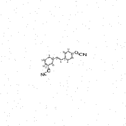 N#COc1ccc(C=Cc2cccc(OC#N)c2)cc1